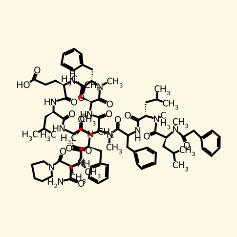 CC(C)C[C@H](NC(=O)[C@H](CC(C)C)N(C)C(=O)C(Cc1ccccc1)NC(=O)[C@H](CC(C)C)N(C)C(=O)[C@H](CC(C)C)N(C)C(=O)Cc1ccccc1)C(=O)N(C)[C@@H](Cc1ccccc1)C(=O)N[C@H](CCC(=O)O)C(=O)N[C@H](CC(C)C)C(=O)N[C@@H](CC(=O)N(C)CC(N)=O)C(=O)N(C)[C@@H](Cc1ccccc1)C(=O)N[C@@H](C)C(=O)N1CCCCC1